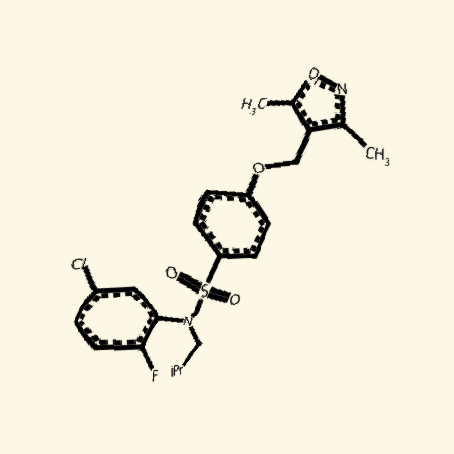 Cc1noc(C)c1COc1ccc(S(=O)(=O)N(CC(C)C)c2cc(Cl)ccc2F)cc1